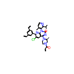 C=CC(=O)N1CCN(c2nc(=O)n(-c3c(C)ccnc3C(C)C)c3nc(-c4cc(C=C)cc(C=C)c4)c(Cl)cc23)[C@@H](C)C1